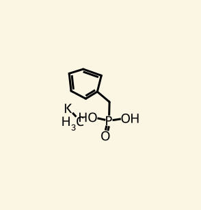 O=P(O)(O)Cc1ccccc1.[CH3][K]